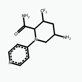 NC(=O)C1C(C(F)(F)F)CC(N)CN1c1[c]cncc1